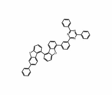 c1ccc(-c2ccc3c(c2)sc2cccc(-c4cccc5oc6c(-c7cccc(-c8nc(-c9ccccc9)nc(-c9ccccc9)n8)c7)cccc6c45)c23)cc1